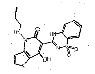 CCCNn1c(=O)c(C2=NS(=O)(=O)c3ccccc3N2)c(O)c2sccc21